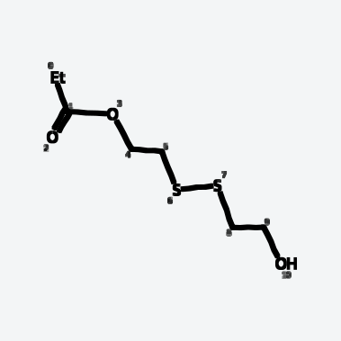 CCC(=O)OCCSSCCO